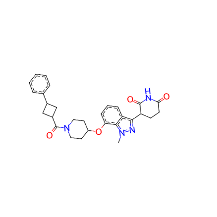 Cn1nc(C2CCC(=O)NC2=O)c2cccc(OC3CCN(C(=O)C4CC(c5ccccc5)C4)CC3)c21